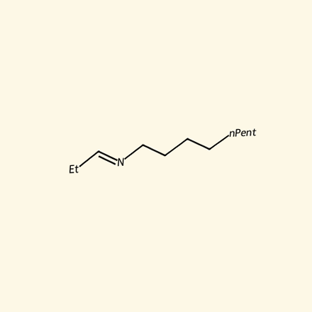 CCC=NCCCCCCCCC